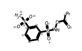 CC(C)C(=O)ONS(=O)(=O)c1cccc(S(C)(=O)=O)c1